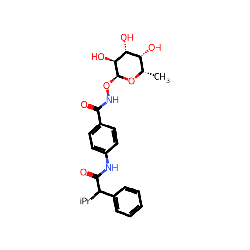 CC(C)C(C(=O)Nc1ccc(C(=O)NO[C@@H]2O[C@@H](C)[C@@H](O)[C@@H](O)[C@@H]2O)cc1)c1ccccc1